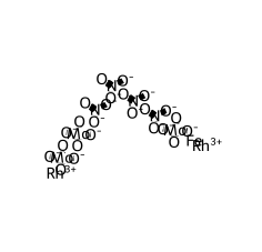 O=[N+]([O-])[O-].O=[N+]([O-])[O-].O=[N+]([O-])[O-].O=[N+]([O-])[O-].[Fe].[O]=[Mo](=[O])([O-])[O-].[O]=[Mo](=[O])([O-])[O-].[O]=[Mo](=[O])([O-])[O-].[Rh+3].[Rh+3]